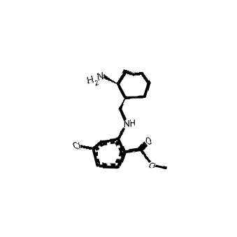 COC(=O)c1ccc(Cl)cc1NC[C@@H]1CCCC[C@@H]1N